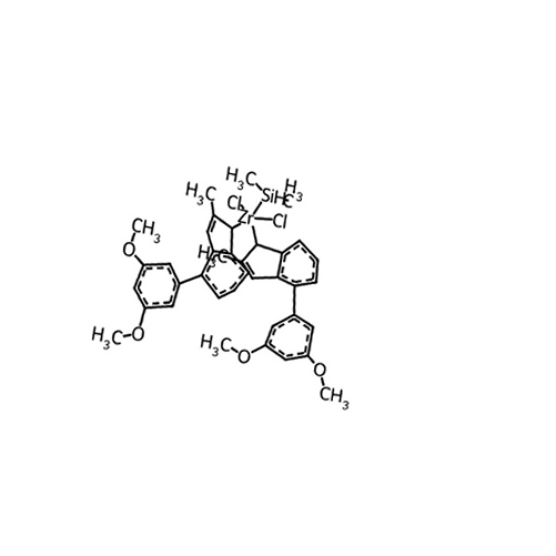 COc1cc(OC)cc(-c2cccc3c2C=C(C)[CH]3[Zr]([Cl])([Cl])([CH]2C(C)=Cc3c(-c4cc(OC)cc(OC)c4)cccc32)[SiH](C)C)c1